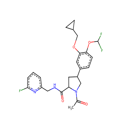 CC(=O)N1CC(c2ccc(OC(F)F)c(OCC3CC3)c2)CC1C(=O)NCc1cccc(F)n1